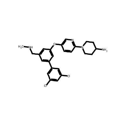 CNCc1cc(Oc2ccc(N3CCC(N)CC3)nc2)cc(-c2cc(Cl)cc(Cl)c2)c1